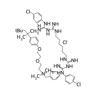 CC(C)(C)CC(C)(C)c1ccc(OCCOCC[N+](C)(C)Cc2ccccc2)cc1.N=C(NCCCCCCNC(=N)NC(=N)Nc1ccc(Cl)cc1)NC(=N)Nc1ccc(Cl)cc1.[Cl-]